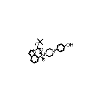 CC(C)(C)OC(=O)n1ccc2cccc(S(=O)(=O)N3CCN(c4ccc(O)cc4)CC3)c21